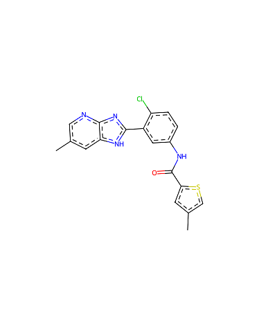 Cc1csc(C(=O)Nc2ccc(Cl)c(-c3nc4ncc(C)cc4[nH]3)c2)c1